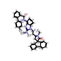 CCN(CC)c1nc2c(NC(=O)c3ccccc3-c3ccc(C(F)(F)F)cc3)cccc2n1CCCCC1(C(=O)NCC(F)(F)F)c2ccccc2-c2ccccc21